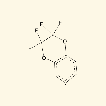 FC1(F)Oc2c[c]ccc2OC1(F)F